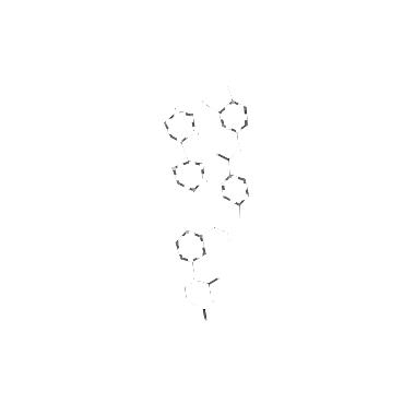 Cc1ccc(NC(=O)c2ccc(CN(C)Cc3cccc(N4CCC(=O)NC4=O)c3)cc2)cc1Nc1nccc(-c2cccnc2)n1